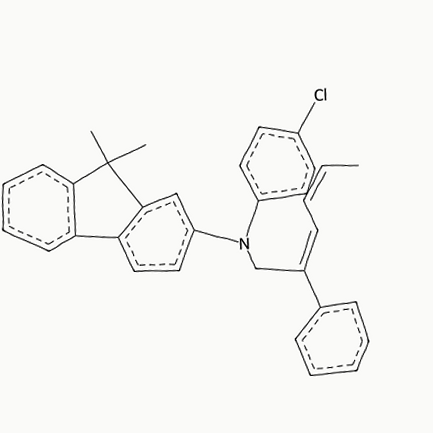 C/C=C\C=C(/CN(c1ccc(Cl)cc1)c1ccc2c(c1)C(C)(C)c1ccccc1-2)c1ccccc1